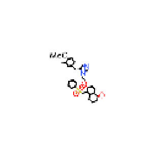 COc1ccc(Cc2cncn2CCOc2ccc3c(c2CS(=O)(=O)c2ccccc2)CCCC3=O)cc1C